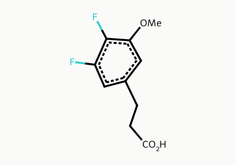 COc1cc(CCC(=O)O)cc(F)c1F